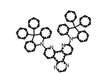 c1ccc(C2(c3ccccc3)c3ccccc3N(c3ccc4c5nccnc5c5ccc(N6c7ccccc7C(c7ccccc7)(c7ccccc7)c7ccccc76)nc5c4n3)c3ccccc32)cc1